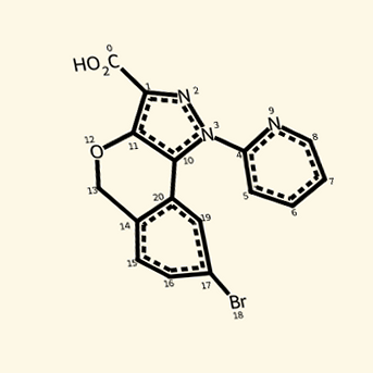 O=C(O)c1nn(-c2ccccn2)c2c1OCc1ccc(Br)cc1-2